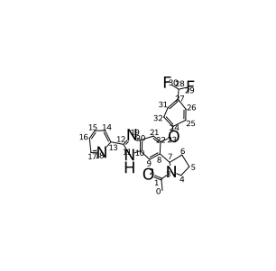 CC(=O)N1CCCC1c1cc2[nH]c(-c3ccccn3)nc2cc1Oc1ccc(C(F)F)cc1